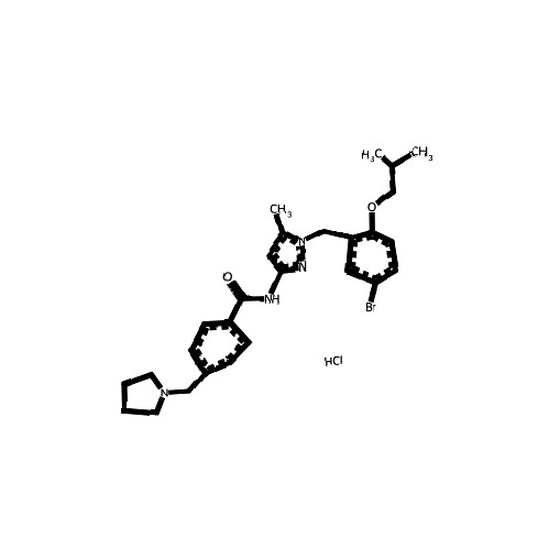 Cc1cc(NC(=O)c2ccc(CN3CCCC3)cc2)nn1Cc1cc(Br)ccc1OCC(C)C.Cl